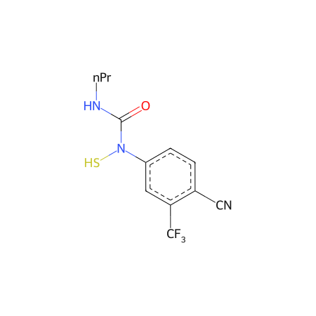 CCCNC(=O)N(S)c1ccc(C#N)c(C(F)(F)F)c1